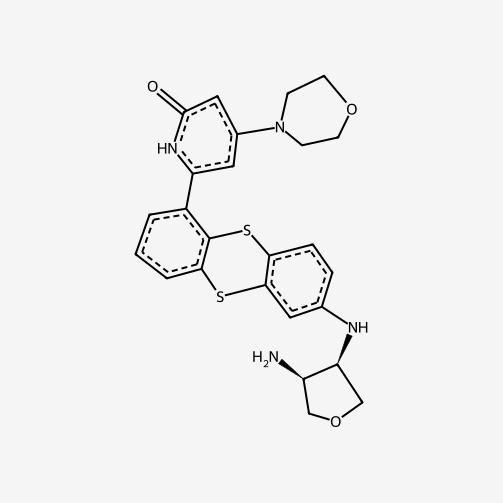 N[C@@H]1COC[C@@H]1Nc1ccc2c(c1)Sc1cccc(-c3cc(N4CCOCC4)cc(=O)[nH]3)c1S2